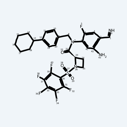 N=Cc1cc(F)c(N(Cc2ccc(C3CCCCC3)cc2)C(=O)[C@H]2CCN2S(=O)(=O)c2c(F)c(F)c(F)c(F)c2F)cc1N